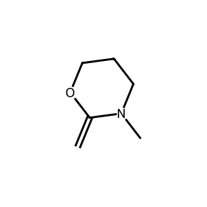 C=C1OCCCN1C